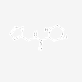 O=C(NCc1cccs1)C1CNCCN1